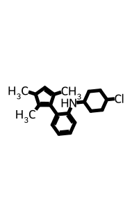 CC1=CC(C)C(C)=C1c1ccccc1NC1CCC(Cl)CC1